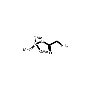 CO[Si](OC)(OC)OC(=O)CN